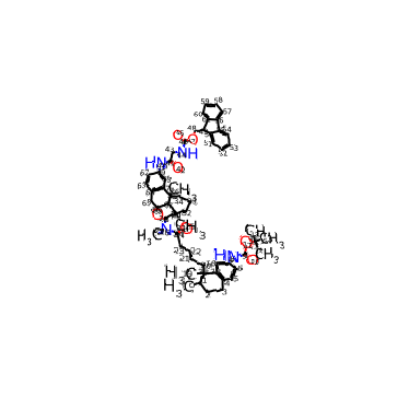 CC1CCc2ccc(NC(=O)OC(C)(C)C)cc2C1(C)CCCCC(=O)N(C)C(=O)[C@@]1(C)CCCC2(C)c3cc(NC(=O)CNC(=O)OCC4c5ccccc5-c5ccccc54)ccc3CCC21